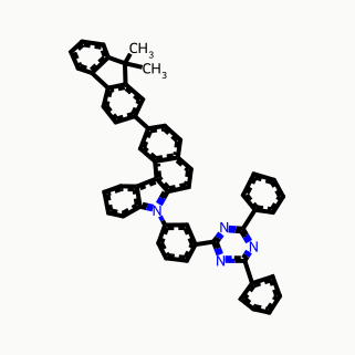 CC1(C)c2ccccc2-c2ccc(-c3ccc4ccc5c(c4c3)c3ccccc3n5-c3cccc(-c4nc(-c5ccccc5)nc(-c5ccccc5)n4)c3)cc21